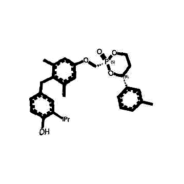 Cc1cccc([C@H]2CCO[P@@](=O)(COc3cc(C)c(Cc4ccc(O)c(C(C)C)c4)c(C)c3)O2)c1